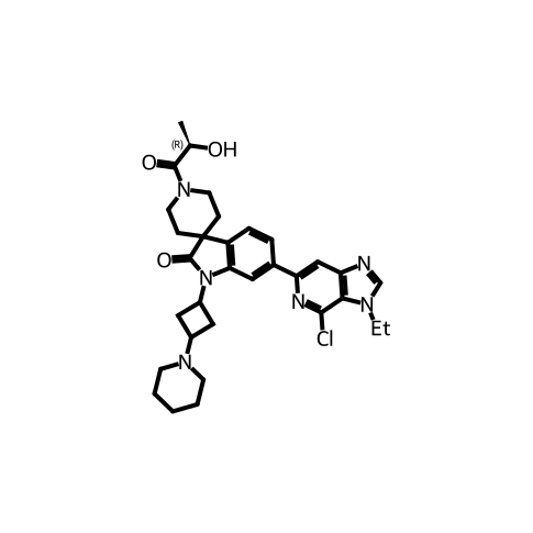 CCn1cnc2cc(-c3ccc4c(c3)N(C3CC(N5CCCCC5)C3)C(=O)C43CCN(C(=O)[C@@H](C)O)CC3)nc(Cl)c21